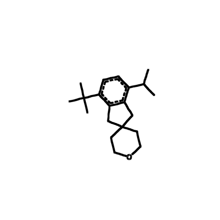 CC(C)c1ccc(C(C)(C)C)c2c1CC1(CCOCC1)C2